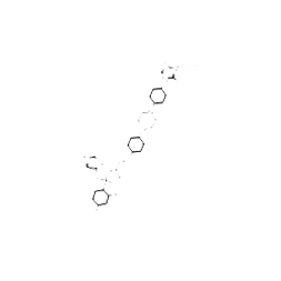 COCn1ncn(-c2ccc(N3CCN(c4ccc(OCC5COC(Cn6cncn6)(c6ccc(F)cc6F)O5)cc4)CC3)cc2)c1=O